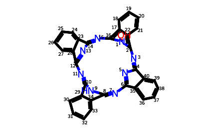 On1c2nc3nc(nc4[nH]c(nc5nc(nc1c1ccccc12)-c1ccccc1-5)c1ccccc41)-c1ccccc1-3